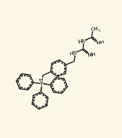 CC(=N)NC(=N)NCc1ccc(C[PH](c2ccccc2)(c2ccccc2)c2ccccc2)cc1